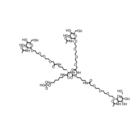 CC(=O)N[C@H]1[C@H](OCCOCCOCCOCC(=O)NCCCC[C@H](NC(=O)COCCOCCOCCO[C@@H]2O[C@H](CO)[C@H](O)[C@H](O)[C@H]2NC(C)=O)C(=O)N[C@@H](CCCCNC(=O)COCCOCOCCO[C@@H]2O[C@H](CO)[C@H](O)[C@H](O)[C@H]2NC(C)=O)C(=O)NCCCCCCOP(=O)(O)O)O[C@H](CO)[C@H](O)[C@@H]1O